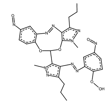 CCCc1nn(C)c2c1/N=N/c1cc(N=O)ccc1OC(c1c(/N=N/c3cc(N=O)ccc3OO)c(CCC)nn1C)O2